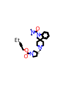 CCC#CCOC(=O)N1CC[C@@H](CN2CCC3(CC2)CN(C(=O)N(C)C)c2ccccc23)C1